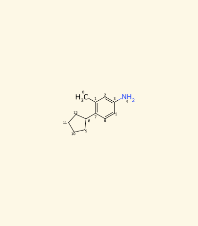 Cc1cc(N)ccc1C1CCCC1